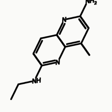 CCNc1ccc2nc(N)cc(C)c2n1